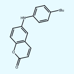 CC(C)(C)c1ccc(Nc2ccc3oc(=O)ccc3c2)cc1